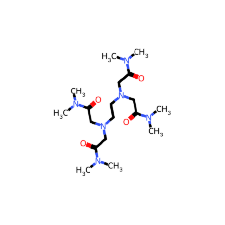 CN(C)C(=O)CN(CCN(CC(=O)N(C)C)CC(=O)N(C)C)CC(=O)N(C)C